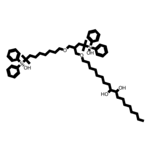 CCCCCCCCC(O)C(O)CCCCCCCCOCC(COCCCCCCCC(C)(C)[Si](O)(c1ccccc1)c1ccccc1)CC(C)(C)[Si](O)(c1ccccc1)c1ccccc1